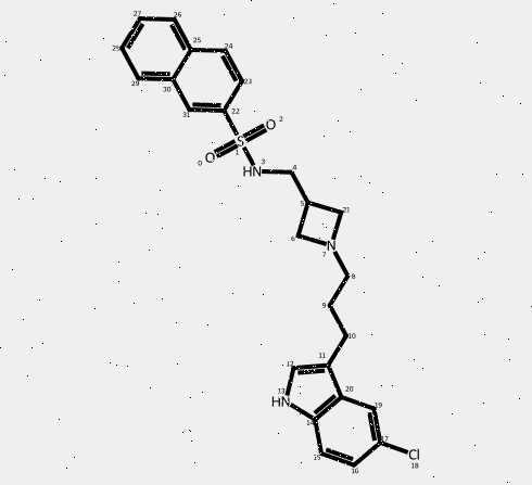 O=S(=O)(NCC1CN(CCCc2c[nH]c3ccc(Cl)cc23)C1)c1ccc2ccccc2c1